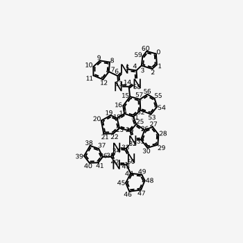 c1ccc(-c2nc(-c3ccccc3)nc(-c3cc4c5ccccc5c5c(c6ccccc6n5-c5nc(-c6ccccc6)nc(-c6ccccc6)n5)c4c4ccccc34)n2)cc1